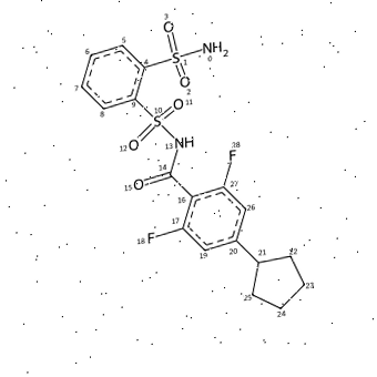 NS(=O)(=O)c1ccccc1S(=O)(=O)NC(=O)c1c(F)cc(C2CCCC2)cc1F